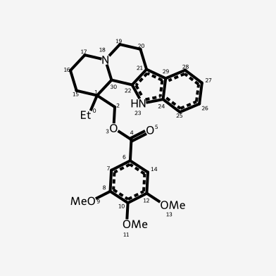 CCC1(COC(=O)c2cc(OC)c(OC)c(OC)c2)CCCN2CCc3c([nH]c4ccccc34)C21